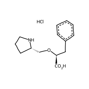 Cl.O=C(O)[C@H](Cc1ccccc1)OC[C@@H]1CCCN1